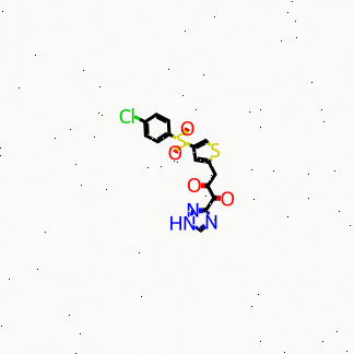 O=C(Cc1cc(S(=O)(=O)c2ccc(Cl)cc2)cs1)C(=O)c1nc[nH]n1